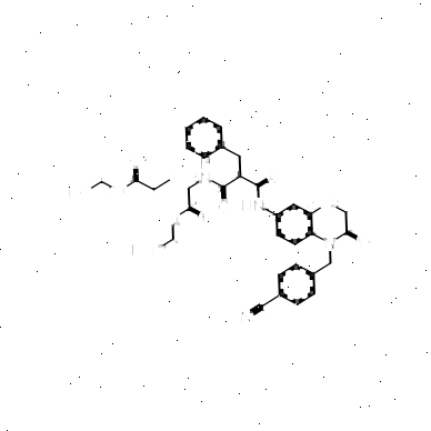 CCOC(=O)CC[C@H](NC(=O)C(Cc1ccccc1)C(=O)Nc1ccc2c(c1)OCC(=O)N2Cc1ccc(C#N)cc1)C(=O)OCC